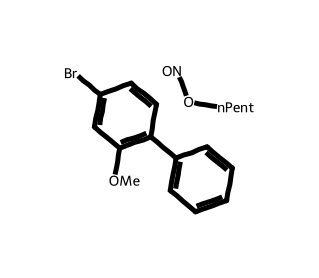 CCCCCON=O.COc1cc(Br)ccc1-c1ccccc1